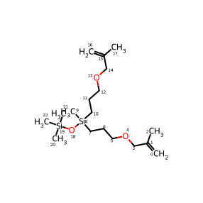 C=C(C)COCCC[Si](C)(CCCOCC(=C)C)O[Si](C)(C)C